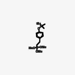 CO[Si](CCc1ccc(O[Si](C)(C)C(C)(C)C)cc1)(OC)OC